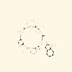 CCC1c2nnc(o2)CNC(=O)[C@@H](CO)NC(=O)[C@@H](C)NC(=O)[C@H](Cc2cc3ccccc3[nH]2)NC(=O)[C@@H]2CCCN12